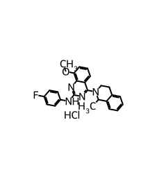 COc1cccc2c(N3CCc4ccccc4C3C)nc(Nc3ccc(F)cc3)nc12.Cl